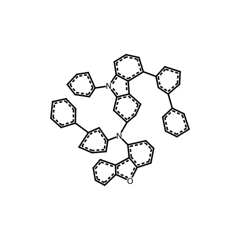 c1ccc(-c2cccc(-c3cccc4c3c3ccc(N(c5cccc(-c6ccccc6)c5)c5cccc6oc7ccccc7c56)cc3n4-c3ccccc3)c2)cc1